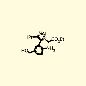 CCOC(=O)Cn1nnc(C(C)C)c1-c1cc(CO)ccc1N